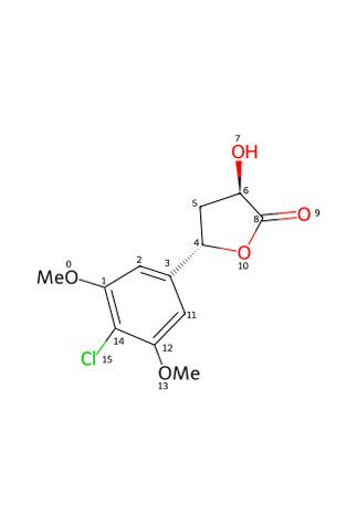 COc1cc([C@@H]2C[C@@H](O)C(=O)O2)cc(OC)c1Cl